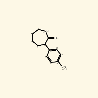 O=C1NCCCCC1c1ccc([N+](=O)[O-])cc1